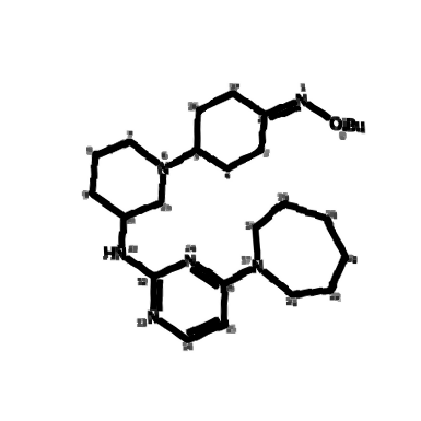 CC(C)CON=C1CCC(N2CCCC(Nc3nccc(N4CCCCCC4)n3)C2)CC1